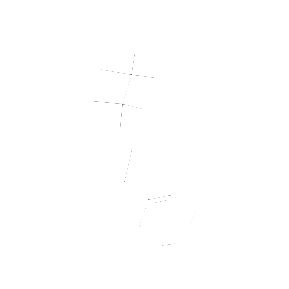 CC(C)(O)C(C)(C)OCCC1=CCOCC1